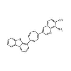 CCCc1ccc2cc(C3=CC=C(c4cccc5c4sc4ccccc45)C=CC3)cnc2c1N